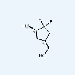 N[C@@H]1C[C@H](CO)CC1(F)F